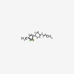 CC=CCC1CCC(c2ccc(C)c(F)c2F)CC1